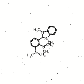 CN(C)c1cccc(C2N(C)c3ccccc3N2C)c1N(C)C